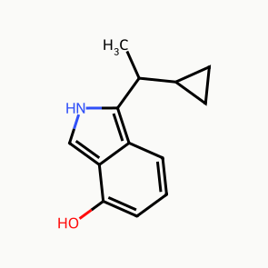 CC(c1[nH]cc2c(O)cccc12)C1CC1